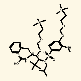 CNc1cc(S(=O)(=O)N(CC(C)C)C([C@H](OCOCC[Si](C)(C)C)[C@H](Cc2ccccc2)NC(=O)O)C(C)(C)C)ccc1OCOCC[Si](C)(C)C